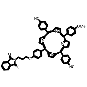 [C-]#[N+]c1ccc(-c2c3nc(c(-c4ccc(OC)cc4)c4ccc([nH]4)c(-c4ccc(C#N)cc4)c4nc(c(-c5ccc(OCCCN6C(=O)c7ccccc7C6=O)cc5)c5ccc2[nH]5)C=C4)C=C3)cc1